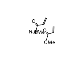 C=CC(=O)OC.C=CC(=O)OC.[NaH]